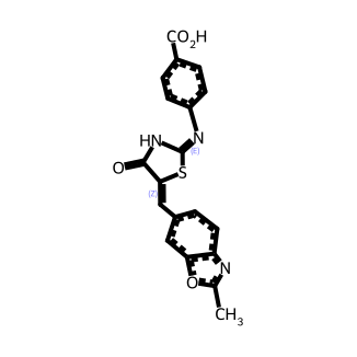 Cc1nc2ccc(/C=C3\S/C(=N/c4ccc(C(=O)O)cc4)NC3=O)cc2o1